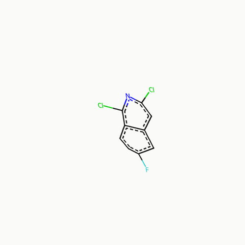 Fc1ccc2c(Cl)nc(Cl)cc2c1